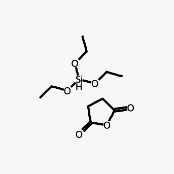 CCO[SiH](OCC)OCC.O=C1CCC(=O)O1